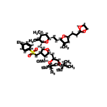 C=C1C[C@H](CCC2OCCO2)O[C@H]1CC[C@H]1C[C@@H](C)C(=C)[C@@H](C[C@@H]2O[C@H](C[C@@H](CO[Si](C)(C)C(C)(C)C)O[Si](C)(C)C(C)(C)C)[C@H](OC)[C@H]2CS(=O)(=O)c2ccc(CC)cc2)O1